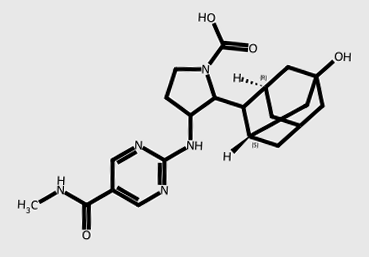 CNC(=O)c1cnc(NC2CCN(C(=O)O)C2C2[C@@H]3CC4C[C@H]2CC(O)(C4)C3)nc1